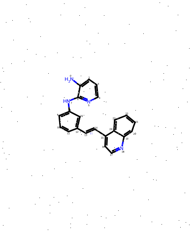 Nc1cccnc1Nc1cccc(/C=C/c2ccnc3ccccc23)c1